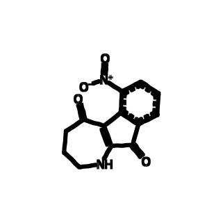 O=C1CCCNC2=C1c1c(cccc1[N+](=O)[O-])C2=O